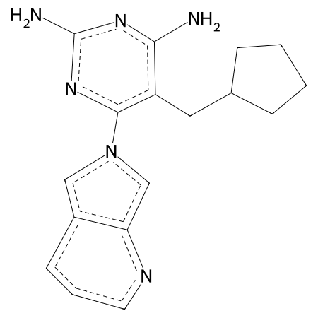 Nc1nc(N)c(CC2CCCC2)c(-n2cc3cccnc3c2)n1